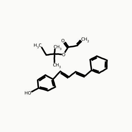 C=CC(=O)OC(C)(C)CC.Oc1ccc(C=CC=Cc2ccccc2)cc1